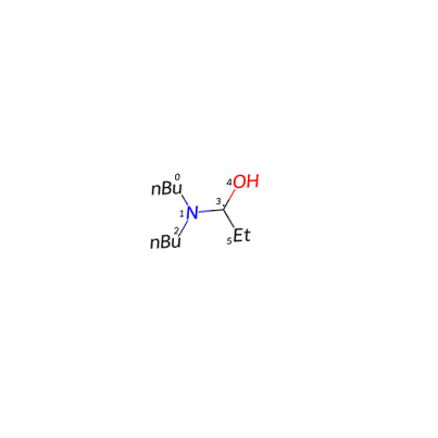 CCCCN(CCCC)[C](O)CC